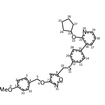 COc1ccc(COc2cc(CSc3ccc(-c4cccnc4OC4CCCC4)cc3)on2)cc1